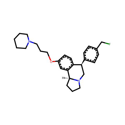 FCc1ccc([C@H]2CN3CCC[C@H]3c3cc(OCCCN4CCCCC4)ccc32)cc1